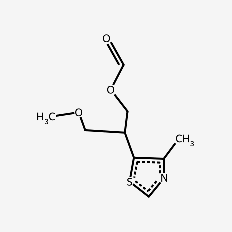 COCC(COC=O)c1scnc1C